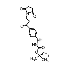 CC(C)(C)OC(=O)NNc1ccc(C(=O)CCN2C(=O)CCC2=O)cc1